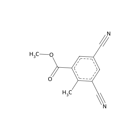 COC(=O)c1cc(C#N)cc(C#N)c1C